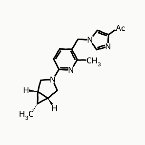 CC(=O)c1cn(Cc2ccc(N3C[C@@H]4[C@H](C)[C@@H]4C3)nc2C)cn1